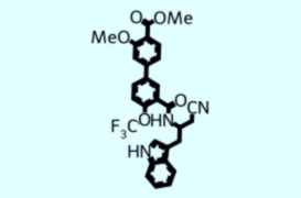 COC(=O)c1ccc(-c2ccc(OC(F)(F)F)c(C(=O)NC(CC#N)Cc3c[nH]c4ccccc34)c2)cc1OC